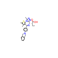 CCC(C(=O)O)[C@@H]1N=C(c2ccc(N3Cc4ccccc4C3)cc2)c2c(sc(C)c2C)-n2c(C)nnc21